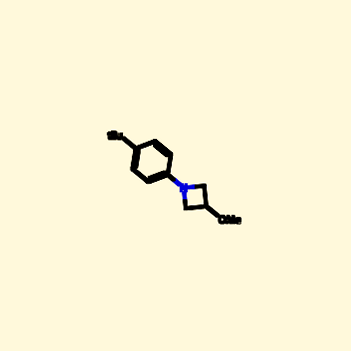 COC1CN(c2ccc(C(C)(C)C)cc2)C1